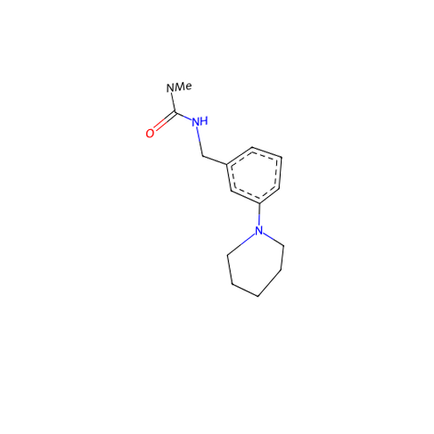 CNC(=O)NCc1cccc(N2CCCCC2)c1